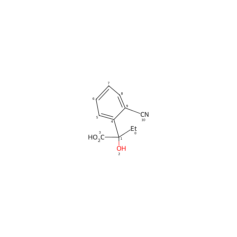 CCC(O)(C(=O)O)c1ccccc1C#N